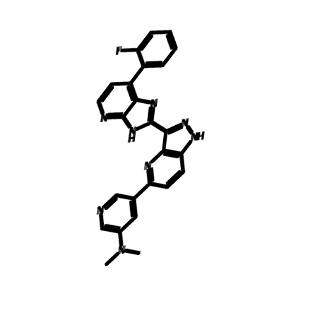 CN(C)c1cncc(-c2ccc3[nH]nc(-c4nc5c(-c6ccccc6F)ccnc5[nH]4)c3n2)c1